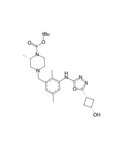 Cc1cc(CN2CCN(C(=O)OC(C)(C)C)[C@@H](C)C2)c(C)c(Nc2nnc([C@H]3C[C@@H](O)C3)o2)c1